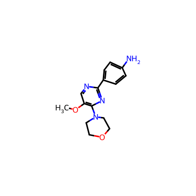 COc1cnc(-c2ccc(N)cc2)nc1N1CCOCC1